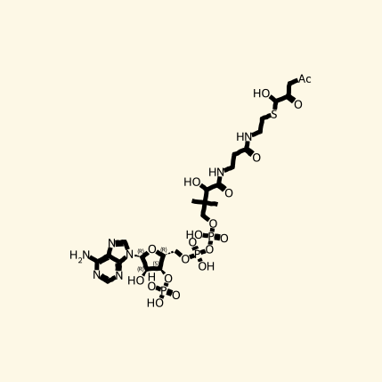 CC(=O)CC(=O)[C](O)SCCNC(=O)CCNC(=O)C(O)C(C)(C)COP(=O)(O)OP(=O)(O)OC[C@H]1O[C@@H](n2cnc3c(N)ncnc32)[C@H](O)[C@@H]1OP(=O)(O)O